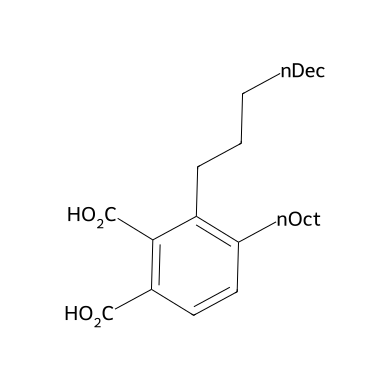 CCCCCCCCCCCCCc1c(CCCCCCCC)ccc(C(=O)O)c1C(=O)O